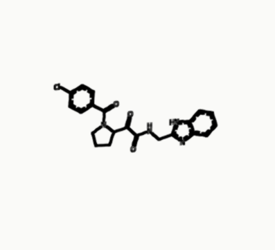 O=C(NCc1nc2ccccc2[nH]1)C(=O)C1CCCN1C(=O)c1ccc(Cl)cc1